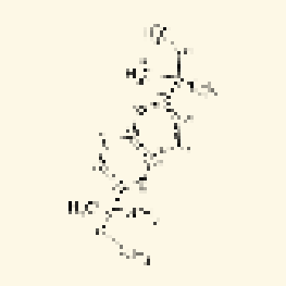 CCC(C)(C)c1ccc2cc(C(C)(C)CC)ccc2c1